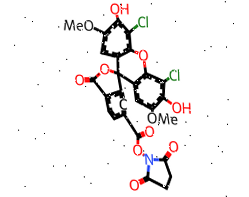 COc1cc2c(c(Cl)c1O)Oc1c(cc(OC)c(O)c1Cl)C21OC(=O)c2ccc(C(=O)ON3C(=O)CCC3=O)cc21